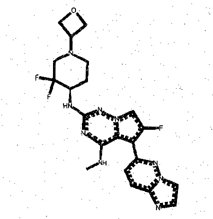 CNc1nc(N[C@@H]2CCN(C3COC3)CC2(F)F)nn2cc(F)c(-c3ccc4nccn4n3)c12